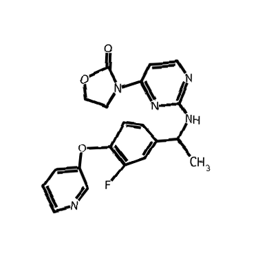 CC(Nc1nccc(N2CCOC2=O)n1)c1ccc(Oc2cccnc2)c(F)c1